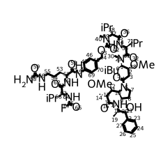 CC[C@H](C)[C@@H]([C@@H](CC(=O)N1CCC[C@H]1[C@H](OC)[C@@H](C)C(=O)N[C@H](C)[C@@H](O)c1ccccc1)OC)N(C)C(=O)[C@@H](NC(=O)[C@H](C(C)C)N(C)C(=O)OCc1ccc(NC(=O)[C@H](CCCNC(N)=O)NC(=O)[C@@H](NC(=O)F)C(C)C)cc1)C(C)C